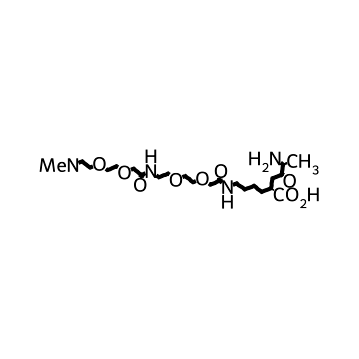 CNCCOCCOCC(=O)NCCOCCOCC(=O)NCCCC[C@H](CC(=O)[C@H](C)N)C(=O)O